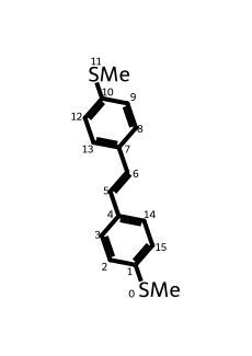 CSc1ccc(C=Cc2ccc(SC)cc2)cc1